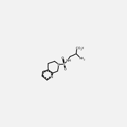 NC(CNS(=O)(=O)N1CCc2cccnc2C1)C(=O)O